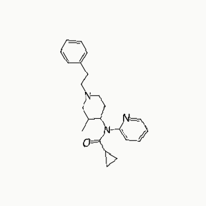 CC1CN(CCc2ccccc2)CCC1N(C(=O)C1CC1)c1ccccn1